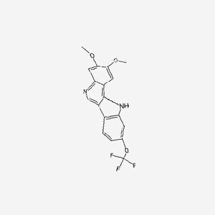 COc1cc2ncc3c4ccc(OC(F)(F)F)cc4[nH]c3c2cc1OC